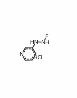 Cl.FNNc1cccnc1